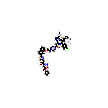 Cc1sc2c(c1C)C(c1ccc(Cl)cc1)=N[C@@H](CC(=O)N1CCN(CCOc3cccc4ccc(-c5nc(CC(=O)NCC(=O)OC6CCCC6)cs5)cc34)CC1)c1nnc(C)n1-2